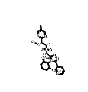 COc1cccc(OC)c1-n1c(NS(=O)(=O)[C@@H](C)[C@H](OC(C)C)c2ncc(C)cn2)nnc1-c1cccnc1